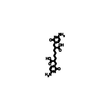 Nc1ccn(CC(CCCCC(Cn2ccc(N)nc2=O)C(=O)O)C(=O)O)c(=O)n1